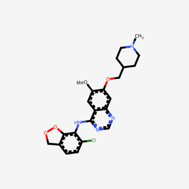 COc1cc2c(Nc3c(Cl)ccc4c3OOC4)ncnc2cc1OCC1CCN(C)CC1